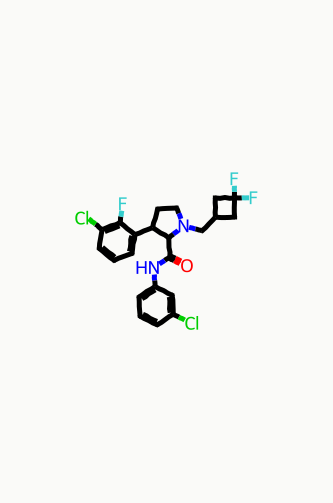 O=C(Nc1cccc(Cl)c1)C1C(c2cccc(Cl)c2F)CCN1CC1CC(F)(F)C1